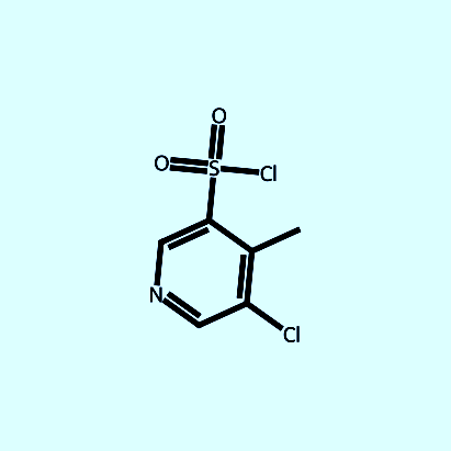 Cc1c(Cl)cncc1S(=O)(=O)Cl